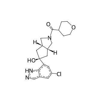 O=C(C1CCOCC1)N1C[C@@H]2C[C@](O)(c3cc(Cl)cc4cn[nH]c34)C[C@@H]2C1